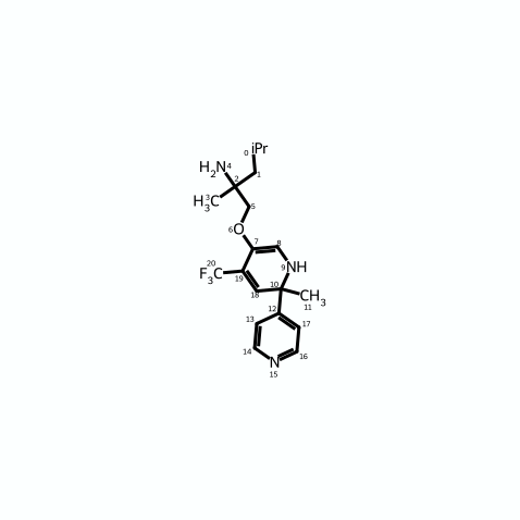 CC(C)CC(C)(N)COC1=CNC(C)(c2ccncc2)C=C1C(F)(F)F